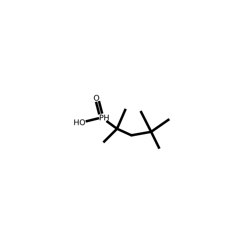 CC(C)(C)CC(C)(C)[PH](=O)O